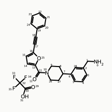 NCc1cccc(C2CCN(C(=O)c3ccc(C#Cc4ccccc4)o3)CC2)c1.O=C(O)C(F)(F)F